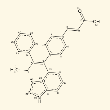 CCC(=C(c1ccc(C=CC(=O)O)cc1)c1cccc2[nH]nnc12)c1ccccc1